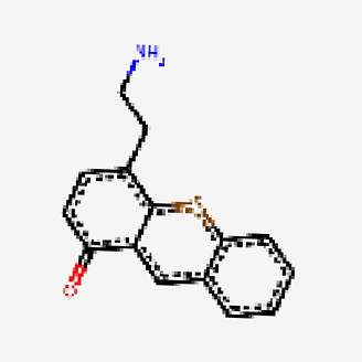 NCCc1ccc(=O)c2cc3ccccc3sc1-2